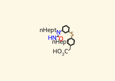 CCCCCCCNC(=O)N(CCCCCCC)c1cccc(Sc2ccc(CC(=O)O)cc2)c1